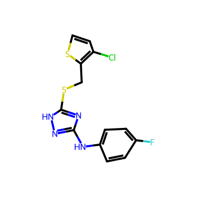 Fc1ccc(Nc2n[nH]c(SCc3sccc3Cl)n2)cc1